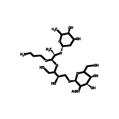 CC(=O)NC1[C@@H](OC[C@@H](O)C(CO)O[C@@H](OCCCN)[C@H](C)O[C@H]2C[C@@H](O)[C@H](O)C(C)O2)OC(CO)[C@H](O)[C@@H]1O